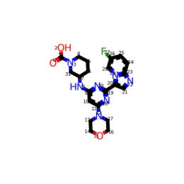 O=C(O)N1CCCC(Nc2cc(N3CCOCC3)nc(-c3cnc4ccc(F)cn34)n2)C1